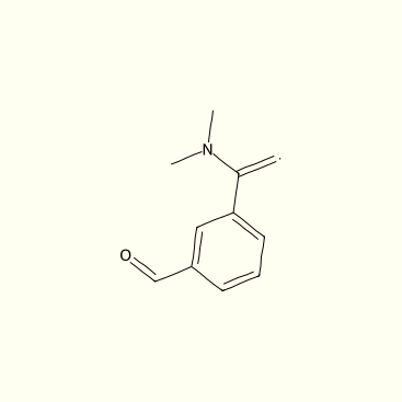 [CH]=C(c1cccc(C=O)c1)N(C)C